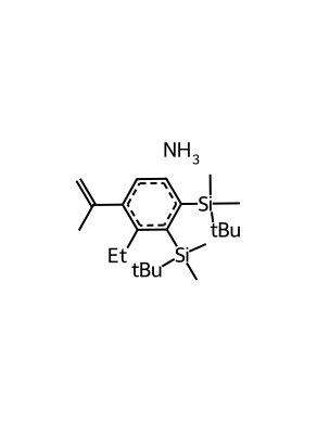 C=C(C)c1ccc([Si](C)(C)C(C)(C)C)c([Si](C)(C)C(C)(C)C)c1CC.N